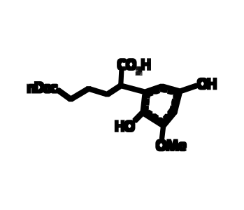 CCCCCCCCCCCCCC(C(=O)O)c1cc(O)cc(OC)c1O